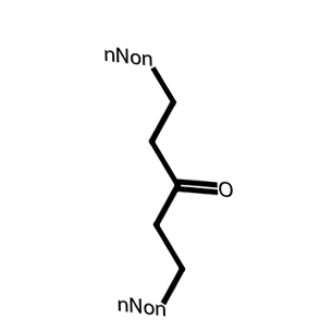 CCCCCCCCCCCC(=O)CCCCCCCCCCC